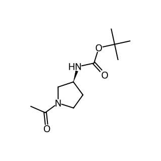 CC(=O)N1CC[C@H](NC(=O)OC(C)(C)C)C1